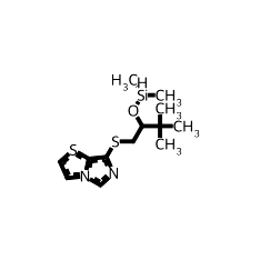 C[SiH](C)OC(CSc1ncn2ccsc12)C(C)(C)C